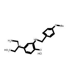 CC(C)(C)Oc1ccc(CNc2cc([C@H](CN)CC(=O)O)ccc2Cl)cc1.Cl